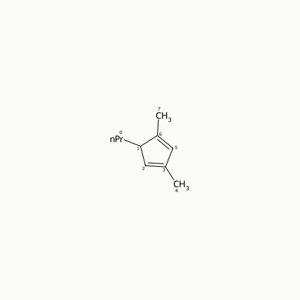 CCCC1C=C(C)C=C1C